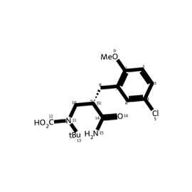 COc1ccc(Cl)cc1C[C@@H](CN(C(=O)O)C(C)(C)C)C(N)=O